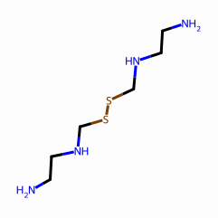 NCCNCSSCNCCN